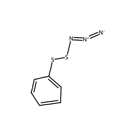 [N-]=[N+]=NSSc1ccccc1